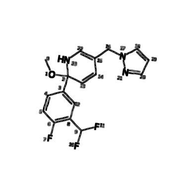 COC1(c2ccc(F)c(C(F)F)c2)C=CC(Cn2cccn2)=CN1